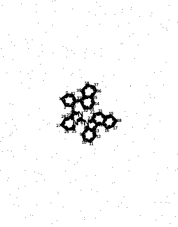 c1ccc(-c2nc(-n3c4ccccc4c4c5ccccc5ccc43)n3ccccc23)c(-c2cccc3ccccc23)c1